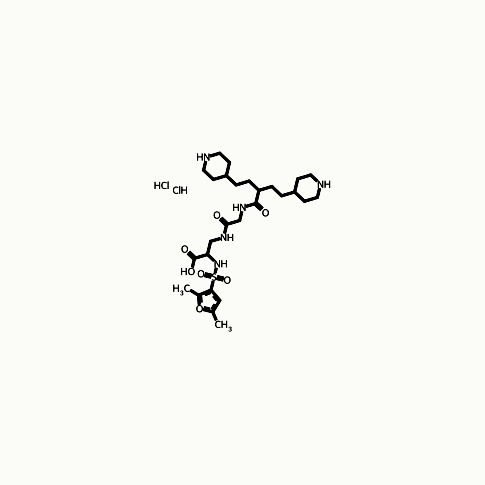 Cc1cc(S(=O)(=O)NC(CNC(=O)CNC(=O)C(CCC2CCNCC2)CCC2CCNCC2)C(=O)O)c(C)o1.Cl.Cl